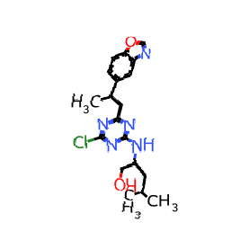 CC(C)CC(CO)Nc1nc(Cl)nc(CC(C)c2ccc3ocnc3c2)n1